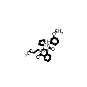 COCCN1C(=O)c2ccccc2[C@@H](C(=O)Nc2cccc(OC)c2)[C@H]1c1cccs1